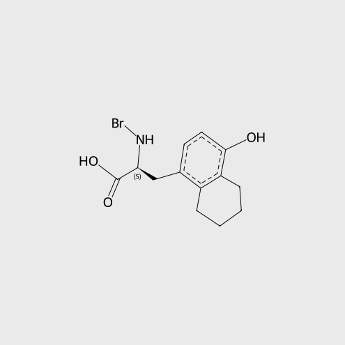 O=C(O)[C@H](Cc1ccc(O)c2c1CCCC2)NBr